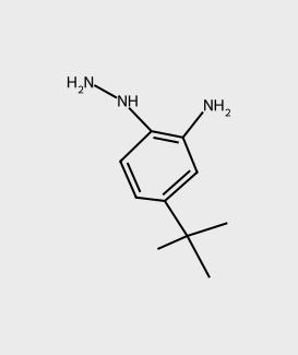 CC(C)(C)c1ccc(NN)c(N)c1